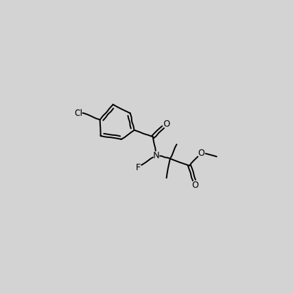 COC(=O)C(C)(C)N(F)C(=O)c1ccc(Cl)cc1